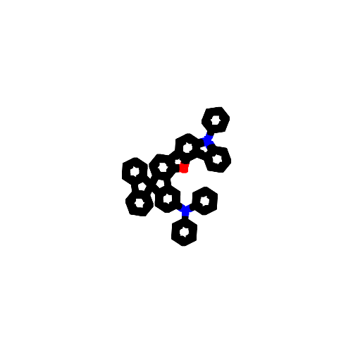 c1ccc(N(c2ccccc2)c2ccc3c(c2)-c2c(ccc4c2oc2c4ccc4c2c2ccccc2n4-c2ccccc2)C32c3ccccc3-c3ccccc32)cc1